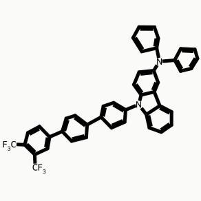 FC(F)(F)c1ccc(-c2ccc(-c3ccc(-n4c5ccccc5c5cc(N(c6ccccc6)c6ccccc6)ccc54)cc3)cc2)cc1C(F)(F)F